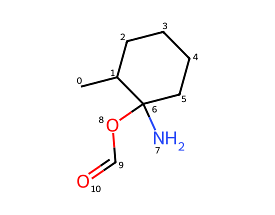 CC1CCCCC1(N)OC=O